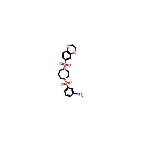 Nc1cccc(S(=O)(=O)N2CCCN(S(=O)(=O)c3ccc4c(c3)OCCO4)CC2)c1